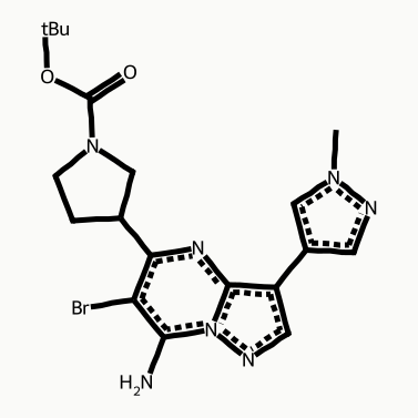 Cn1cc(-c2cnn3c(N)c(Br)c(C4CCN(C(=O)OC(C)(C)C)C4)nc23)cn1